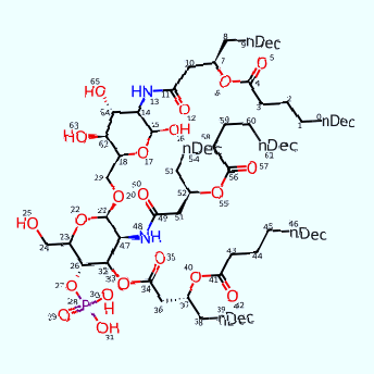 CCCCCCCCCCCCCC(=O)O[C@H](CCCCCCCCCCC)CC(=O)NC1C(O)OC(CO[C@@H]2OC(CO)[C@@H](OP(=O)(O)O)C(OC(=O)C[C@@H](CCCCCCCCCCC)OC(=O)CCCCCCCCCCCCC)[C@@H]2NC(=O)C[C@@H](CCCCCCCCCCC)OC(=O)CCCCCCCCCCCCC)[C@@H](O)[C@@H]1O